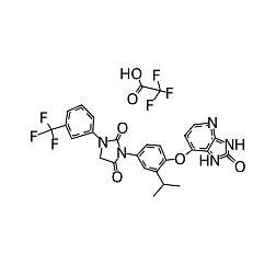 CC(C)c1cc(N2C(=O)CN(c3cccc(C(F)(F)F)c3)C2=O)ccc1Oc1ccnc2[nH]c(=O)[nH]c12.O=C(O)C(F)(F)F